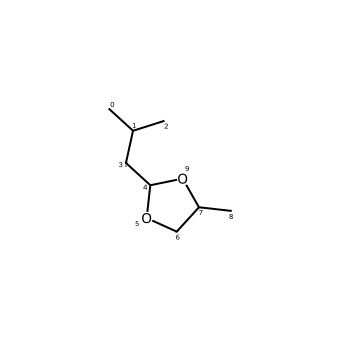 CC(C)[CH]C1OCC(C)O1